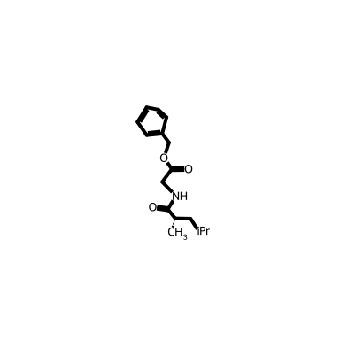 CC(C)C[C@H](C)C(=O)NCC(=O)OCc1ccccc1